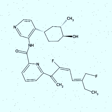 C=C(/C(F)=C\C=C(\CC)CF)c1cccc(C(=O)Nc2cnccc2[C@H]2CC[C@H](O)[C@@H](C)C2)n1